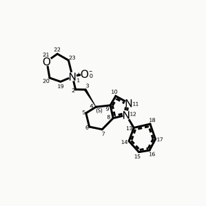 [O-][N+]1(CC[C@@H]2CCCc3c2cnn3-c2ccccc2)CCOCC1